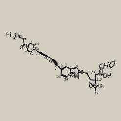 C[C@@](CCn1cc2cc(C#CC#CC3CCN(C(=O)CN)CC3)ccc2n1)(CN(O)C=O)S(C)(=O)=O